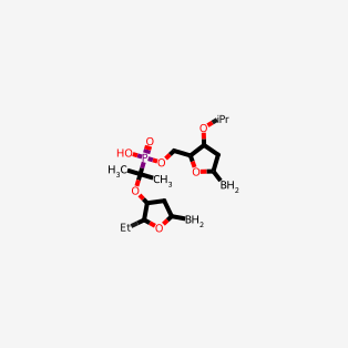 BC1CC(OC(C)C)C(COP(=O)(O)C(C)(C)OC2CC(B)OC2CC)O1